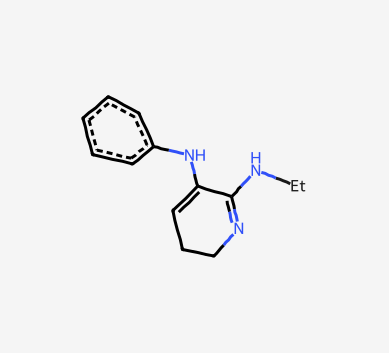 CCNC1=NCCC=C1Nc1ccccc1